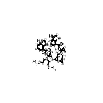 CCCN(CCC)C1(NC(=O)c2cccc3[nH]cnc23)CC1.O=C(NC1(N(CC2CC2)CC2CC2)CC1)c1cccc2[nH]cnc12